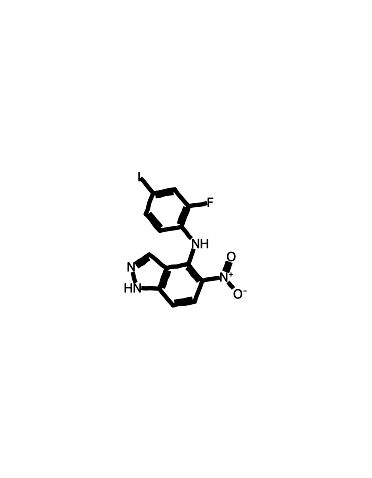 O=[N+]([O-])c1ccc2[nH]ncc2c1Nc1ccc(I)cc1F